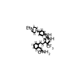 CCN1CCN(c2ccc(NN3N=C(CCc4ccccc4CC(N)=O)C(C(F)(F)F)=CN3)cc2)CC1